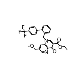 CCOC(=O)c1cn(Cc2ccccc2-c2ccc(C(F)(F)F)cc2)c2cc(COC)cnc2c1=O